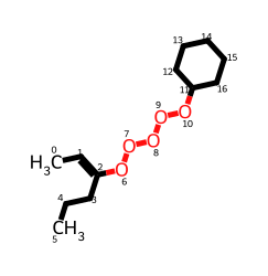 CC=C(CCC)OOOOOC1CCCCC1